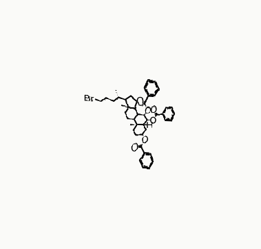 C[C@@H](CCCBr)C1CCC2C3C(CC[C@@]21C)[C@@]1(C)CC[C@@H](OC(=O)c2ccccc2)C[C@H]1[C@H](OC(=O)c1ccccc1)[C@@H]3OC(=O)c1ccccc1